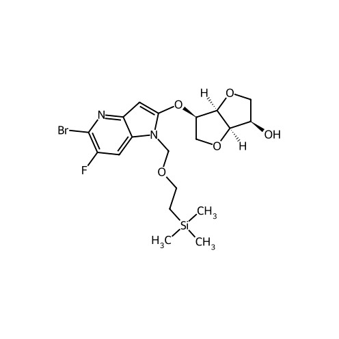 C[Si](C)(C)CCOCn1c(O[C@@H]2CO[C@H]3[C@@H]2OC[C@H]3O)cc2nc(Br)c(F)cc21